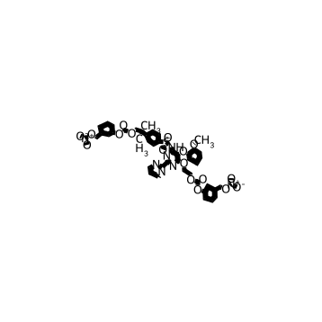 COc1ccccc1Oc1c(NS(=O)(=O)c2ccc(C(C)(C)COC(=O)Oc3cccc(CO[N+](=O)[O-])c3)cc2)nc(-c2ncccn2)nc1OCCOC(=O)Oc1cccc(CO[N+](=O)[O-])c1